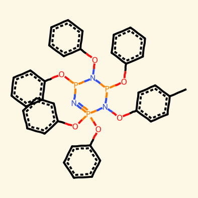 Cc1ccc(ON2P(Oc3ccccc3)N(Oc3ccccc3)P(Oc3ccccc3)N=P2(Oc2ccccc2)Oc2ccccc2)cc1